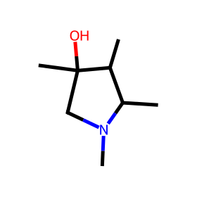 CC1C(C)C(C)(O)CN1C